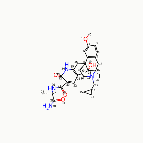 COc1ccc2c(c1)[C@]13CCN(CC4CC4)[C@H](C2)[C@]1(O)Cc1cc(C(=O)N[C@@H](C)C(N)=O)c(=O)[nH]c1C3